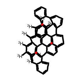 [2H]c1c([2H])c([2H])c2c(-c3ccccc3-c3cccc4ccccc34)c3c(-c4ccccc4-c4cccc5c6ccccc6c6ccccc6c45)c([2H])c([2H])c([2H])c3c([2H])c2c1[2H]